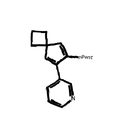 CCCCCC1=CC2(C=C1c1cccnc1)CCC2